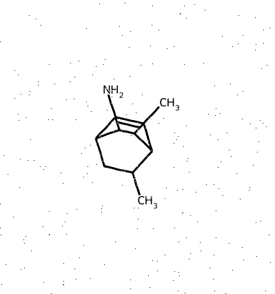 CC1CC2C=CC1C(C)C2N